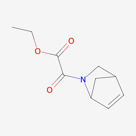 CCOC(=O)C(=O)N1CC2C=CC1C2